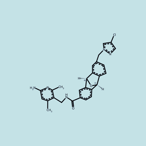 Cc1cc(N)nc(C)c1CNC(=O)c1ccc2c(c1)[C@@H]1O[C@H]2c2ccc(Cn3cc(Cl)cn3)cc21